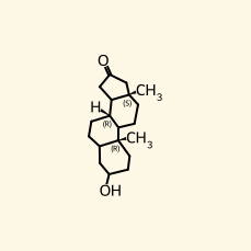 C[C@@]12CCC3[C@H](CCC4CC(O)CC[C@]43C)C1CC(=O)C2